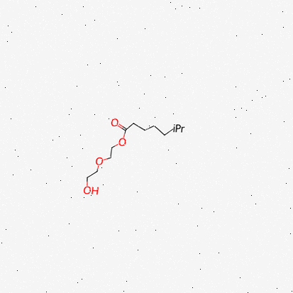 CC(C)CCCCC(=O)OCCOCCO